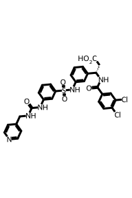 O=C(O)C[C@H](NC(=O)c1ccc(Cl)c(Cl)c1)c1cccc(NS(=O)(=O)c2cccc(NC(=O)NCc3ccncc3)c2)c1